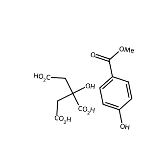 COC(=O)c1ccc(O)cc1.O=C(O)CC(O)(CC(=O)O)C(=O)O